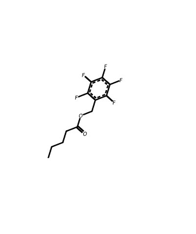 CCCCC(=O)OCc1c(F)c(F)c(F)c(F)c1F